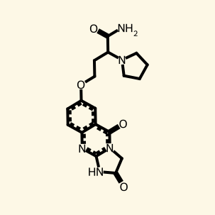 NC(=O)C(CCOc1ccc2nc3n(c(=O)c2c1)CC(=O)N3)N1CCCC1